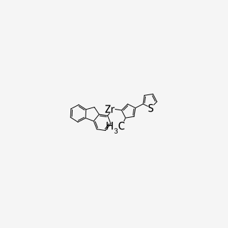 CC1C=C(c2cccs2)C=[C]1[Zr][c]1cccc2c1Cc1ccccc1-2